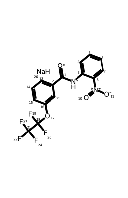 O=C(Nc1ccccc1[N+](=O)[O-])c1cccc(OC(F)(F)C(F)(F)F)c1.[NaH]